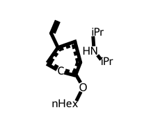 C=Cc1ccc(OCCCCCC)cc1.CC(C)NC(C)C